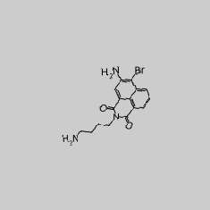 NCCCCN1C(=O)c2cccc3c(Br)c(N)cc(c23)C1=O